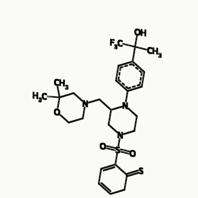 CC1(C)CN(CC2CN(S(=O)(=O)C3=CC=CCC3=S)CCN2c2ccc(C(C)(O)C(F)(F)F)cc2)CCO1